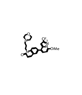 COc1ccc(-c2ccc3c(ccc(=O)n3CCCN3CCOCC3)c2)c2cc(C(F)(F)F)nn12